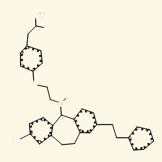 CCCc1ccc2c(c1)CCc1cc(CCc3ccccc3)ccc1C2N(C)CCOc1ccc(CC(OC)C(=O)O)cc1